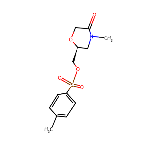 Cc1ccc(S(=O)(=O)OC[C@@H]2CN(C)C(=O)CO2)cc1